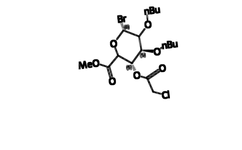 CCCCOC1[C@@H](OCCCC)[C@H](OC(=O)CCl)C(C(=O)OC)O[C@@H]1Br